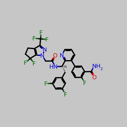 NC(=O)c1cc(-c2cccnc2[C@H](Cc2cc(F)cc(F)c2)NC(=O)Cn2nc(C(F)(F)F)c3c2C(F)(F)CC3)ccc1F